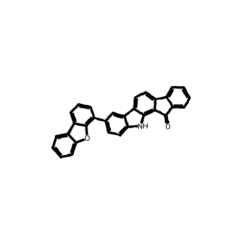 O=C1c2ccccc2-c2ccc3c([nH]c4ccc(-c5cccc6c5oc5ccccc56)cc43)c21